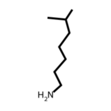 CC(C)CCCCCN